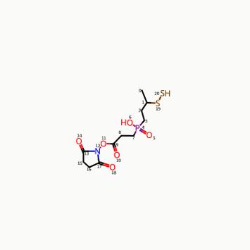 CC(CCP(=O)(O)CCC(=O)ON1C(=O)CCC1=O)SS